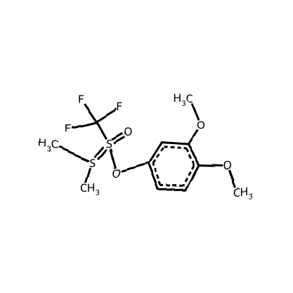 COc1ccc(OS(=O)(=S(C)C)C(F)(F)F)cc1OC